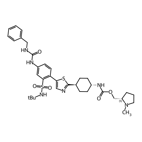 CN1CCC[C@H]1COC(=O)N[C@H]1CC[C@H](c2ncc(-c3ccc(NC(=O)NCc4ccccc4)cc3S(=O)(=O)NC(C)(C)C)s2)CC1